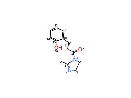 CC1=NCCN1C(=O)/C=C/c1ccccc1O